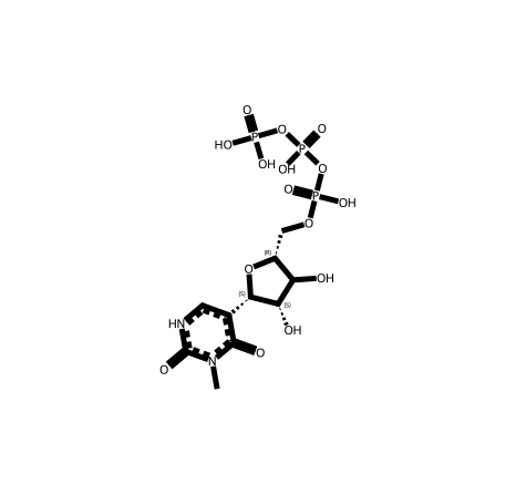 Cn1c(=O)[nH]cc([C@@H]2O[C@H](COP(=O)(O)OP(=O)(O)OP(=O)(O)O)C(O)[C@@H]2O)c1=O